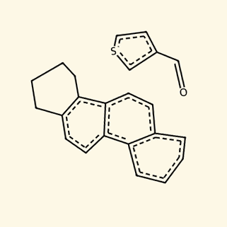 O=Cc1ccsc1.c1ccc2c(c1)ccc1c3c(ccc12)CCCC3